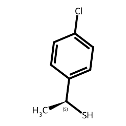 C[C@H](S)c1ccc(Cl)cc1